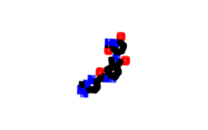 O=C1CCC(N2Cc3cc(NC(=O)c4ccc5nncn5n4)ccc3C2=O)C(=O)N1